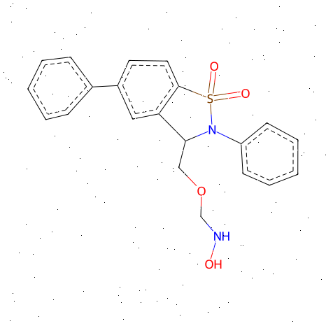 O=S1(=O)c2ccc(-c3ccccc3)cc2C(COCNO)N1c1ccccc1